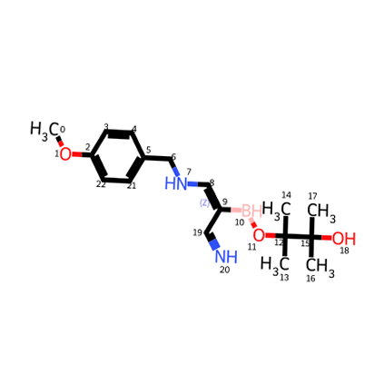 COc1ccc(CN/C=C(/BOC(C)(C)C(C)(C)O)C=N)cc1